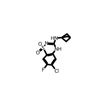 O=S1(=O)N=C(NC23CC(C2)C3)Nc2cc(Cl)c(F)cc21